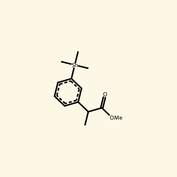 COC(=O)C(C)c1ccc[c]([Sn]([CH3])([CH3])[CH3])c1